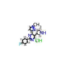 Cl.Cn1ccc(-c2nc(-c3ccc(F)cc3)ncc2C2CCNC2)n1